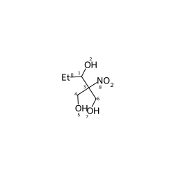 CCC(O)C(CO)(CO)[N+](=O)[O-]